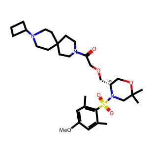 COc1cc(C)c(S(=O)(=O)N2CC(C)(C)OC[C@H]2COCC(=O)N2CCC3(CC2)CCN(C2CCC2)CC3)c(C)c1